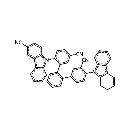 N#Cc1ccc(-n2c3ccccc3c3cc(C#N)ccc32)c(-c2ccccc2-c2ccc(-n3c4c(c5ccccc53)C=CCC4)c(C#N)c2)c1